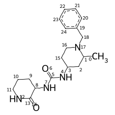 CC1CC(NC(=O)NC2CCCNC2=O)CCN1Cc1ccccc1